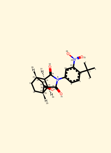 CC(C)(C)c1ccc(N2C(=O)[C@@H]3[C@H]4CC[C@H](C(=O)C4)[C@@H]3C2=O)cc1[N+](=O)[O-]